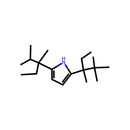 CCC(C)(c1ccc(C(C)(CC)C(C)(C)C)[nH]1)C(C)C